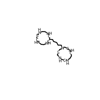 C(CCC1CNCCNCCCNCCNC1)CCN1CCCNCCNCCCNCC1